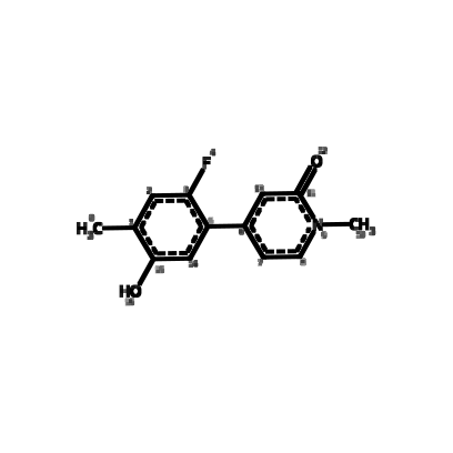 Cc1cc(F)c(-c2ccn(C)c(=O)c2)cc1O